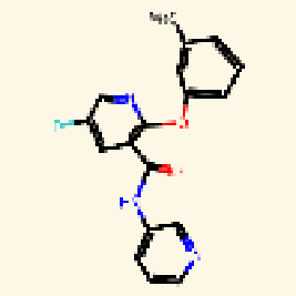 CSc1cccc(Oc2ncc(F)cc2C(=O)Nc2cccnc2)c1